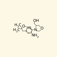 CC1(C)Cc2cc(N)c(N3CCOCC3CO)nc2O1